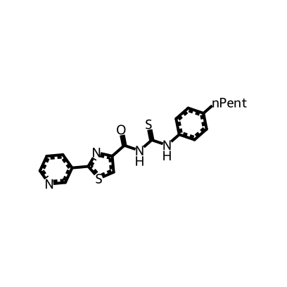 CCCCCc1ccc(NC(=S)NC(=O)c2csc(-c3cccnc3)n2)cc1